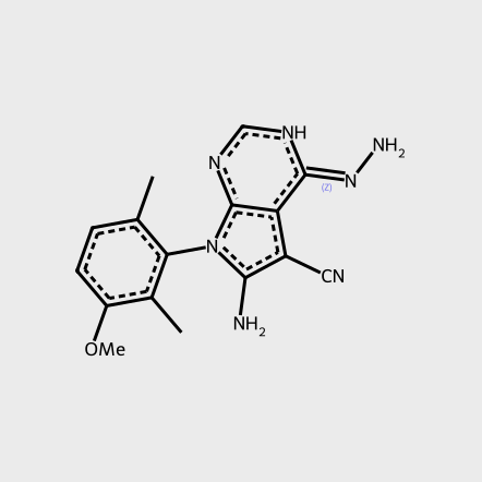 COc1ccc(C)c(-n2c(N)c(C#N)c3/c(=N/N)[nH]cnc32)c1C